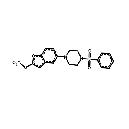 O=C(O)Oc1cc2cc(N3CCN(S(=O)(=O)c4ccccc4)CC3)ccc2o1